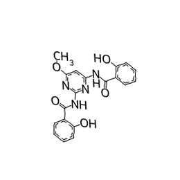 COc1cc(NC(=O)c2ccccc2O)nc(NC(=O)c2ccccc2O)n1